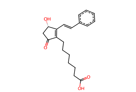 O=C(O)CCCCCCC1=C(C=Cc2ccccc2)[C@@H](O)CC1=O